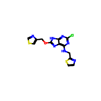 Clc1nc(NCc2nccs2)c2nc(OCc3cscn3)[nH]c2n1